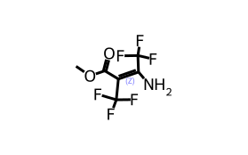 COC(=O)/C(=C(/N)C(F)(F)F)C(F)(F)F